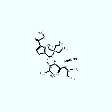 CC[C@H](C)[C@@H](N=[N+]=[N-])C(=O)N[C@H](C[C@@H](O[Si](CC)(CC)CC)c1nc(C(=O)OC)cs1)C(C)C